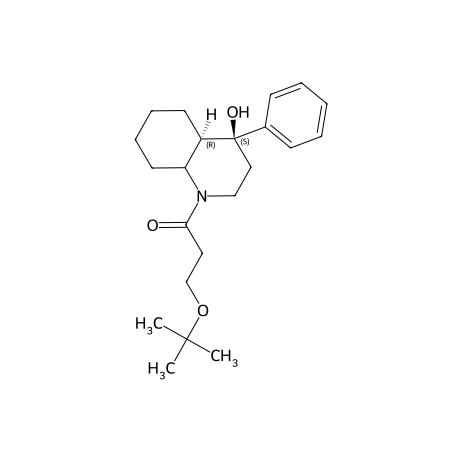 CC(C)(C)OCCC(=O)N1CC[C@@](O)(c2ccccc2)[C@@H]2CCCCC21